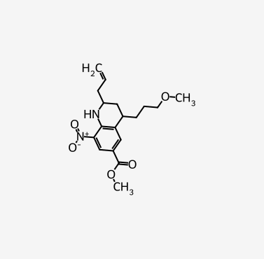 C=CCC1CC(CCCOC)c2cc(C(=O)OC)cc([N+](=O)[O-])c2N1